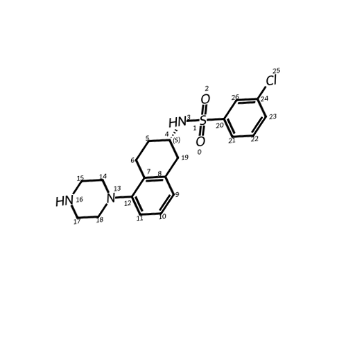 O=S(=O)(N[C@H]1CCc2c(cccc2N2CCNCC2)C1)c1cccc(Cl)c1